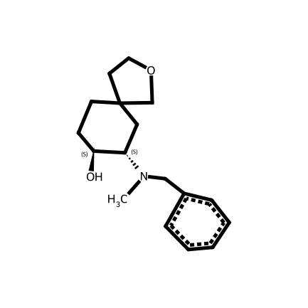 CN(Cc1ccccc1)[C@H]1CC2(CCOC2)CC[C@@H]1O